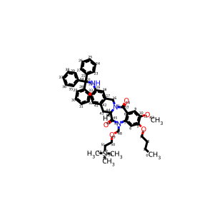 CCCCOc1cc2c(cc1OC)C(=O)N1Cc3cc(NC(c4ccccc4)(c4ccccc4)c4ccccc4)ccc3C[C@H]1C(=O)N2COCC[Si](C)(C)C